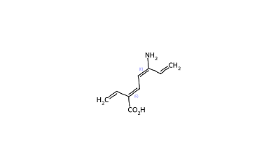 C=C/C(N)=C\C=C(/C=C)C(=O)O